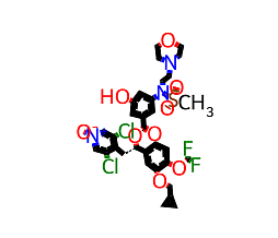 CS(=O)(=O)N(CCN1CCOCC1)c1cc(O)cc(C(=O)O[C@@H](Cc2c(Cl)c[n+]([O-])cc2Cl)c2ccc(OC(F)F)c(OCC3CC3)c2)c1